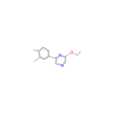 CCOc1cncc(-c2ccc(C)c(C)c2)n1